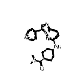 CN(C)C(=O)[C@H]1CC[C@H](Nc2ccc3ncc(-c4ccncc4)n3n2)CC1